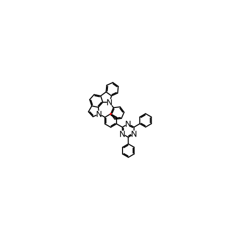 c1ccc(-c2nc(-c3ccccc3)nc(-c3ccc(-n4ccc5ccc6c7ccccc7n(-c7ccccc7)c6c54)cc3)n2)cc1